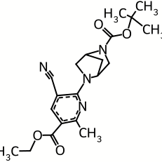 CCOC(=O)c1cc(C#N)c(N2CC3CC2CN3C(=O)OC(C)(C)C)nc1C